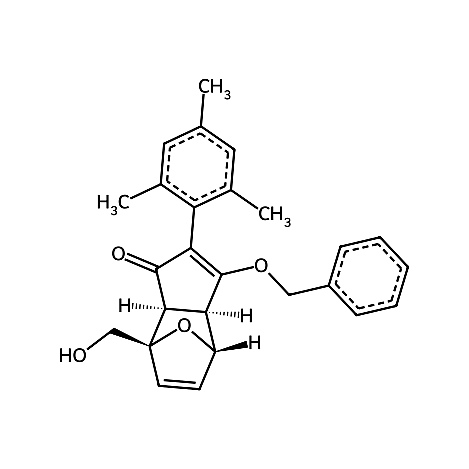 Cc1cc(C)c(C2=C(OCc3ccccc3)[C@H]3[C@@H]4C=C[C@@](CO)(O4)[C@H]3C2=O)c(C)c1